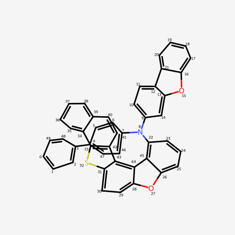 c1ccc(-c2ccc(N(c3ccc4c(c3)oc3ccccc34)c3cccc4oc5ccc6sc7c8ccccc8ccc7c6c5c34)cc2)cc1